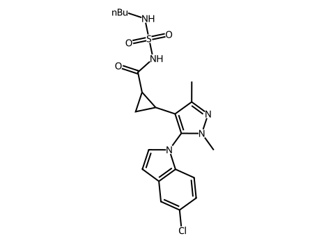 CCCCNS(=O)(=O)NC(=O)C1CC1c1c(C)nn(C)c1-n1ccc2cc(Cl)ccc21